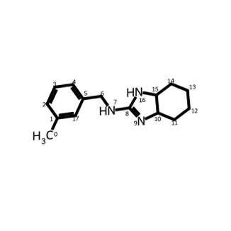 Cc1cccc(CNC2=NC3CCCCC3N2)c1